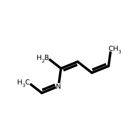 BC(=C/C=C\C)/N=C\C